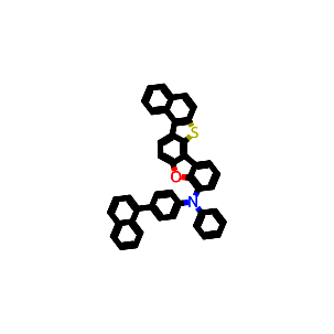 c1ccc(N(c2ccc(-c3cccc4ccccc34)cc2)c2cccc3c2oc2ccc4c(sc5ccc6ccccc6c54)c23)cc1